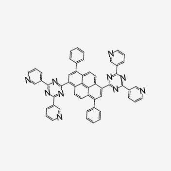 c1ccc(-c2cc(-c3nc(-c4cccnc4)nc(-c4cccnc4)n3)c3ccc4c(-c5ccccc5)cc(-c5nc(-c6cccnc6)nc(-c6cccnc6)n5)c5ccc2c3c45)cc1